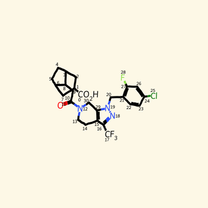 O=C(O)C1CC2CCC(C1)C2CC(=O)N1CCc2c(C(F)(F)F)nn(Cc3ccc(Cl)cc3F)c2C1